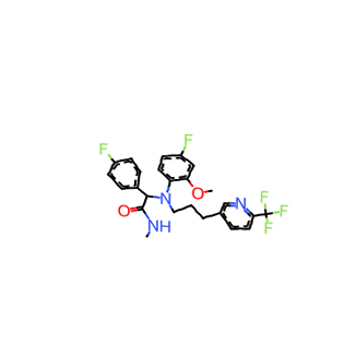 CNC(=O)C(c1ccc(F)cc1)N(CCCc1ccc(C(F)(F)F)nc1)c1ccc(F)cc1OC